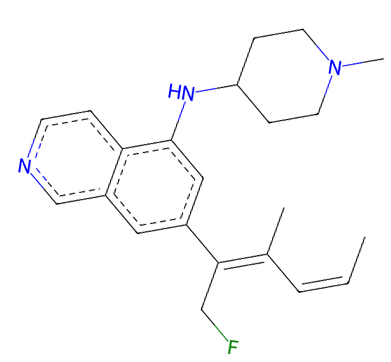 C/C=C\C(C)=C(/CF)c1cc(NC2CCN(C)CC2)c2ccncc2c1